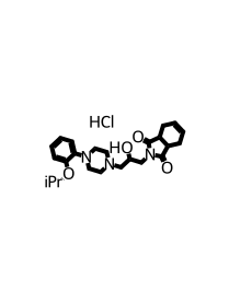 CC(C)Oc1ccccc1N1CCN(CC(O)CN2C(=O)C3CC=CCC3C2=O)CC1.Cl